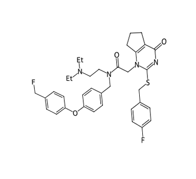 CCN(CC)CCN(Cc1ccc(Oc2ccc(CF)cc2)cc1)C(=O)Cn1c(SCc2ccc(F)cc2)nc(=O)c2c1CCC2